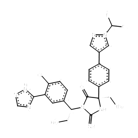 CC(C)(C)C[C@]1(c2ccc(-c3cnn(C(F)F)c3)cc2)NC(=N)N([C@H](CO)c2ccc(Cl)c(-c3ncn[nH]3)c2)C1=O